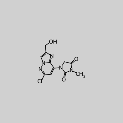 CN1C(=O)CN(c2cc(Cl)nn3cc(CO)nc23)C1=O